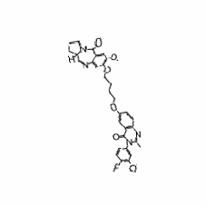 COc1cc2c(cc1OCCCCOc1ccc3nc(C)n(-c4ccc(F)c(Cl)c4)c(=O)c3c1)N=C[C@@H]1CCCN1C2=O